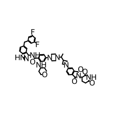 CC(C1CN(c2ccc3c(c2)C(=O)N(C2CCC(=O)NC2=O)C3=O)C1)N1CCN(c2ccc(C(=O)Nc3n[nH]c4ccc(Cc5cc(F)cc(F)c5)cc34)c(NC3CCOCC3)c2)CC1